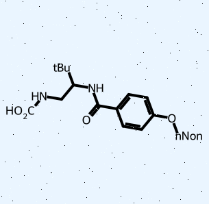 CCCCCCCCCOc1ccc(C(=O)NC(CNC(=O)O)C(C)(C)C)cc1